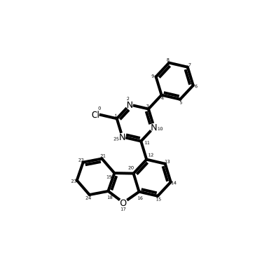 Clc1nc(-c2ccccc2)nc(-c2cccc3oc4c(c23)C=CCC4)n1